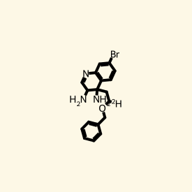 [2H]C(CC1(N)c2ccc(Br)cc2N=CC1N)OCc1ccccc1